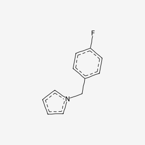 Fc1ccc(Cn2cccc2)cc1